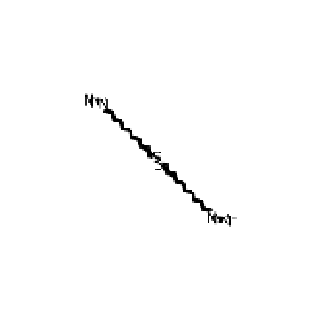 [N-]=[N+]=NCCCCCCCCCCCSSCCCCCCCCCCCN=[N+]=[N-]